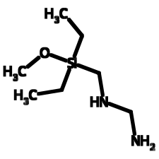 CC[Si](CC)(CNCN)OC